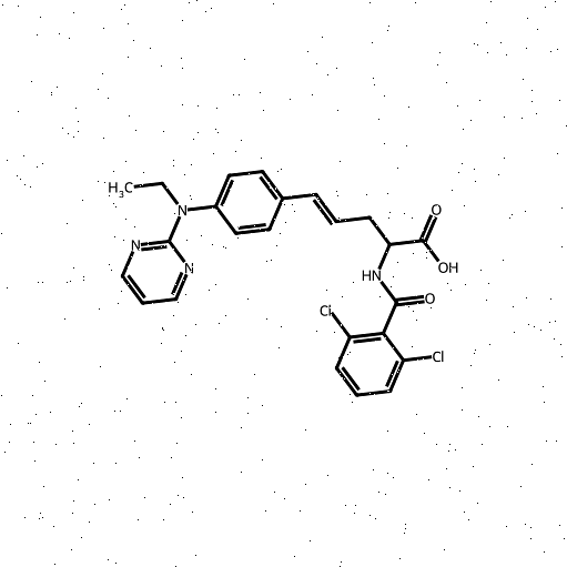 CCN(c1ccc(C=CCC(NC(=O)c2c(Cl)cccc2Cl)C(=O)O)cc1)c1ncccn1